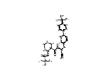 N#C[C@H](Cc1ccc(-c2ccc(C(F)(F)F)cc2)cc1)NC(=O)[C@@H]1CCCCN1OC(=O)C(F)(F)F